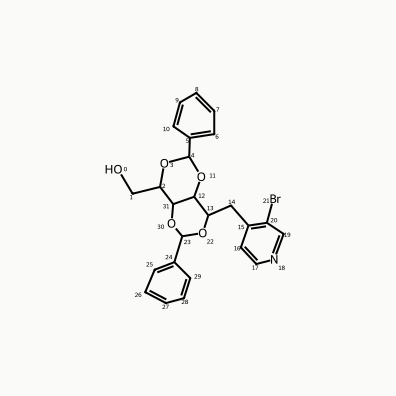 OCC1OC(c2ccccc2)OC2C(Cc3ccncc3Br)OC(c3ccccc3)OC12